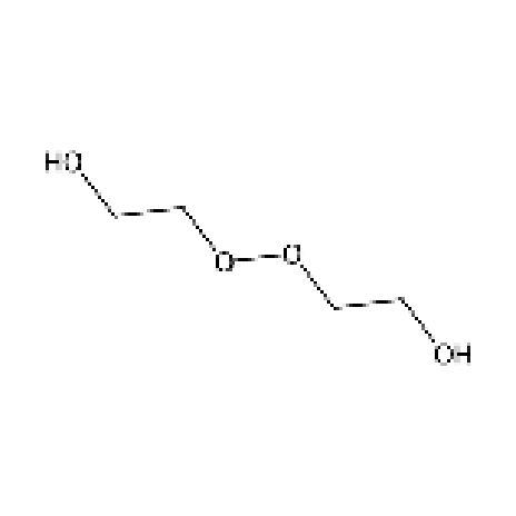 OCCOOCCO